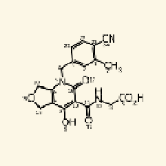 Cc1cc(Cn2c3c(c(O)c(C(=O)NCC(=O)O)c2=O)COC3)ccc1C#N